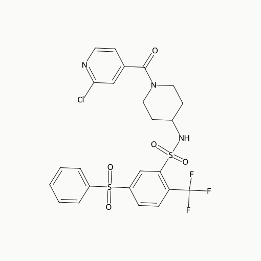 O=C(c1ccnc(Cl)c1)N1CCC(NS(=O)(=O)c2cc(S(=O)(=O)c3ccccc3)ccc2C(F)(F)F)CC1